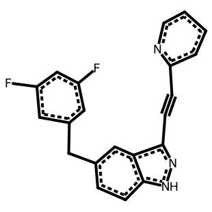 Fc1cc(F)cc(Cc2ccc3[nH]nc(C#Cc4ccccn4)c3c2)c1